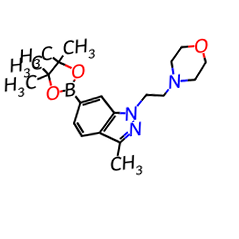 Cc1nn(CCN2CCOCC2)c2cc(B3OC(C)(C)C(C)(C)O3)ccc12